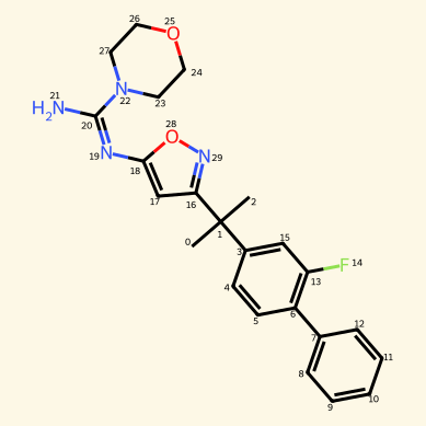 CC(C)(c1ccc(-c2ccccc2)c(F)c1)c1cc(/N=C(/N)N2CCOCC2)on1